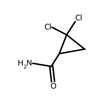 NC(=O)C1CC1(Cl)Cl